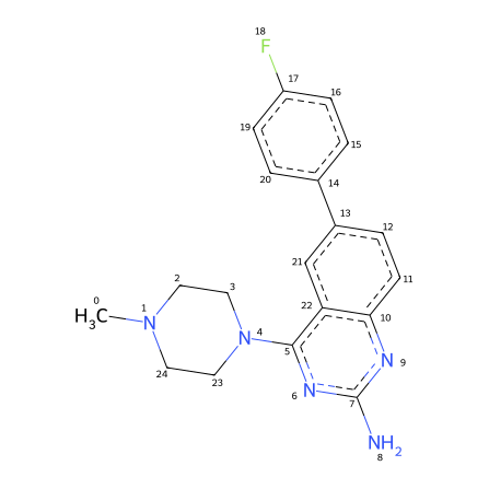 CN1CCN(c2nc(N)nc3ccc(-c4ccc(F)cc4)cc23)CC1